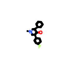 Cn1cc(-c2ccccc2)c(=O)c(-c2ccc(F)cc2)c1